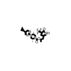 CC(Cc1c[nH]c(=O)c(C(F)(F)F)c1)OC(=O)N1C[C@@H](C)N(c2ncc(C3CC3)cn2)C[C@H]1C